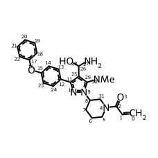 C=CC(=O)N1CCCC(n2nc(-c3ccc(Oc4ccccc4)cc3)c(C(N)O)c2NC)C1